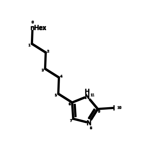 CCCCCCCCCCCc1cnc(I)[nH]1